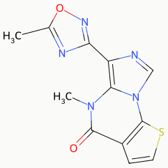 Cc1nc(-c2ncn3c4sccc4c(=O)n(C)c23)no1